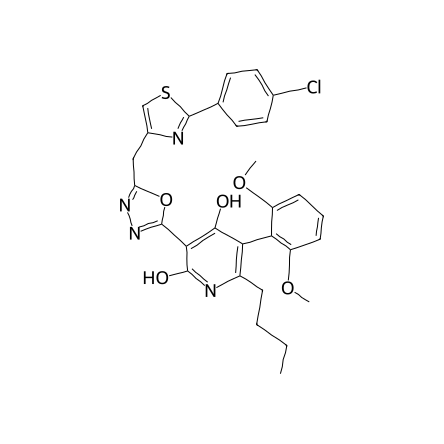 CCCCc1nc(O)c(-c2nnc(Cc3csc(-c4ccc(Cl)cc4)n3)o2)c(O)c1-c1c(OC)cccc1OC